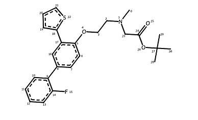 CN(CCOc1ccc(-c2ccccc2F)cc1-c1cccs1)CC(=O)OC(C)(C)C